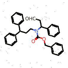 O=CCC(c1ccccc1)N(CCC(c1ccccc1)c1ccccc1)C(=O)OCc1ccccc1